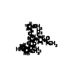 C=CC(=O)N1CCN(c2nc(OCC3CCCN3C)nc3c2O[C@H](C)C(c2c(C)ccc4[nH]ncc24)O3)[C@@H](C)C1